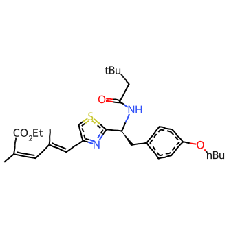 CCCCOc1ccc(C[C@H](NC(=O)CC(C)(C)C)c2nc(/C=C(C)/C=C(/C)C(=O)OCC)cs2)cc1